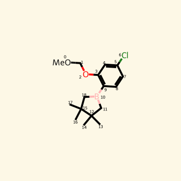 COCOc1cc(Cl)ccc1B1CC(C)(C)C(C)(C)C1